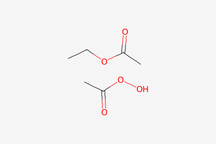 CC(=O)OO.CCOC(C)=O